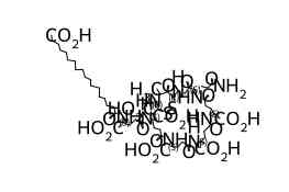 CC1N[C@H](C(=O)O)CSSC[C@H](NCC(=O)[C@H](CCC(N)=O)NC(=O)CC[C@H](NC(=O)CC[C@H](NC(=O)CC[C@H](NC(=O)CC[C@H](NC(=O)CC[C@H](NC(=O)CCCCCCCCCCCCCCCCC(=O)O)C(=O)O)C(=O)O)C(=O)O)C(=O)O)C(=O)O)C1=O